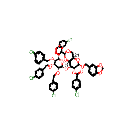 O=C(O[C@H]1[C@H](OCc2ccc3c(c2)OCO3)O[C@@H]2COC(c3ccccc3)O[C@@H]2[C@@H]1O[C@H]1O[C@H](COCc2ccc(Cl)cc2)[C@H](OCc2ccc(Cl)cc2)[C@H](OCc2ccc(Cl)cc2)[C@H]1OCc1ccc(Cl)cc1)c1ccc(Cl)cc1